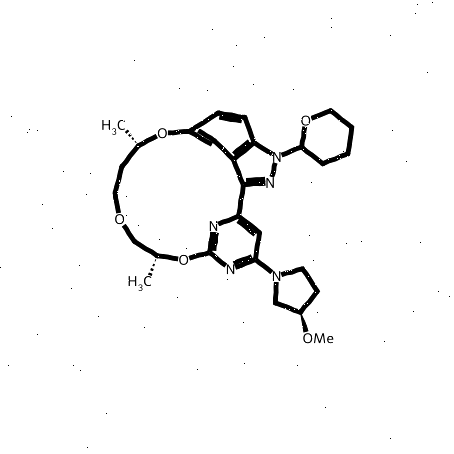 CO[C@@H]1CCN(c2cc3nc(n2)O[C@H](C)COCC[C@H](C)Oc2ccc4c(c2)c-3nn4C2CCCCO2)C1